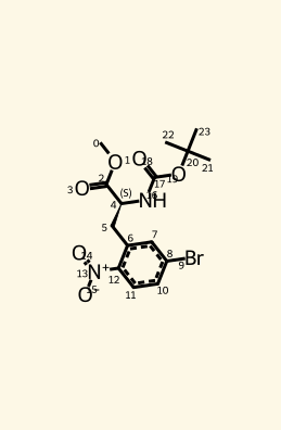 COC(=O)[C@H](Cc1cc(Br)ccc1[N+](=O)[O-])NC(=O)OC(C)(C)C